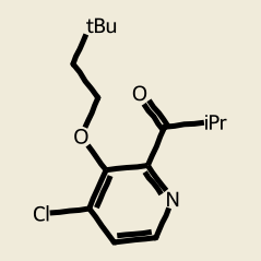 CC(C)C(=O)c1nccc(Cl)c1OCCC(C)(C)C